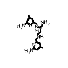 Cc1cc(N)nc(CNCC[C@H](CN)NCc2cc(C)cc(N)n2)c1